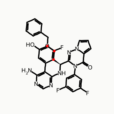 Nc1ncnc(N[C@@H](CCOCc2ccccc2)c2nn3cccc3c(=O)n2-c2cc(F)cc(F)c2)c1-c1cc(O)cc(F)c1